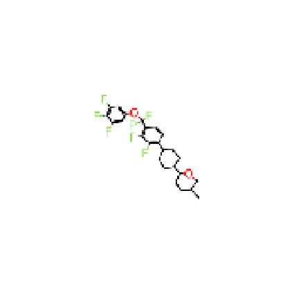 CC1CCC(C2CCC(c3ccc(C(F)(F)Oc4cc(F)c(F)c(F)c4)c(F)c3F)CC2)OC1